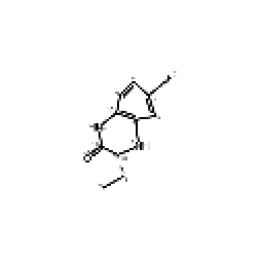 CC[C@H]1Nc2cc(F)ccc2NC1=O